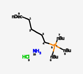 CCCCCCCCCCCCCC[P](CCCC)(CCCC)CCCC.Cl.N